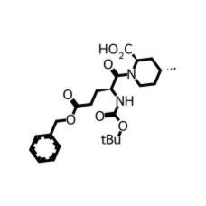 C[C@@H]1CCN(C(=O)[C@H](CCC(=O)OCc2ccccc2)NC(=O)OC(C)(C)C)[C@@H](C(=O)O)C1